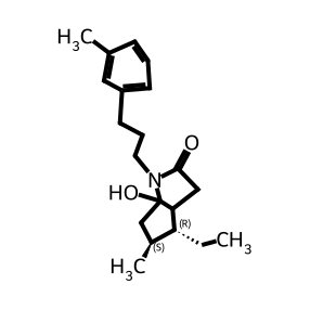 CC[C@H]1C2CC(=O)N(CCCc3cccc(C)c3)C2(O)C[C@@H]1C